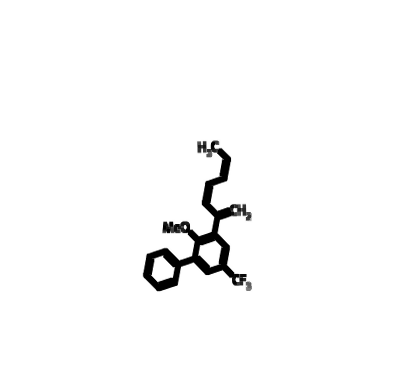 C=C(/C=C\C=C/C)c1cc(C(F)(F)F)cc(-c2ccccc2)c1OC